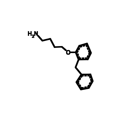 NCCCCOc1ccccc1Cc1ccccc1